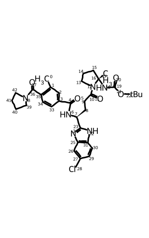 Cc1cc(C(=O)N[C@@H](CCC(=O)N2CCC[C@]2(C)NC(=O)OC(C)(C)C)c2nc3cc(Cl)ccc3[nH]2)ccc1C(=O)N1CCCC1